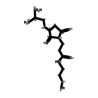 CCCOCCNC(=O)CCN1C(=O)CC(SCC(N)C(=O)O)C1=O